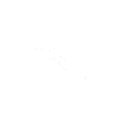 Nc1nc(Nc2cccc(S(N)(=O)=O)c2)ncc1-c1ccc(Cc2ccncc2)cc1